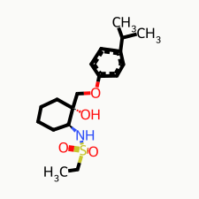 CCS(=O)(=O)N[C@H]1CCCC[C@@]1(O)COc1ccc(C(C)C)cc1